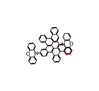 C1=CC2=C(CC1)N(c1ccc3c(-c4ccccc4-c4cccc5ccccc45)c4cc(N5c6ccccc6Oc6ccccc65)ccc4c(-c4ccccc4-c4cccc5ccccc45)c3c1)c1ccccc1O2